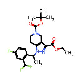 CCOC(=O)c1nn(C(C)c2ccc(F)cc2C(F)F)c2c1CN(C(=O)OC(C)(C)C)CC2